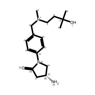 CN(CCC(C)(C)O)Cc1ccc(N2C[C@H](N)CC2=O)cc1